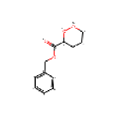 O=C(OCc1ccccc1)C1CCCOO1